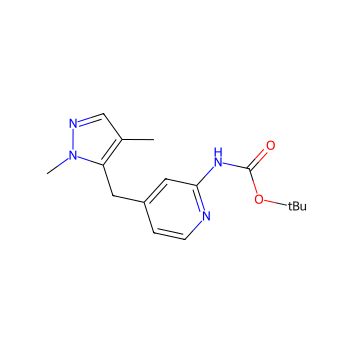 Cc1cnn(C)c1Cc1ccnc(NC(=O)OC(C)(C)C)c1